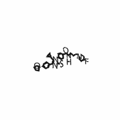 O=C(NCCCN1CCC(F)CC1)c1ccc2c(c1)sc1nc(-c3ccc([C@@H]4CCCO4)cc3)c(C3CC3)n12